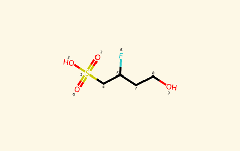 O=S(=O)(O)CC(F)CCO